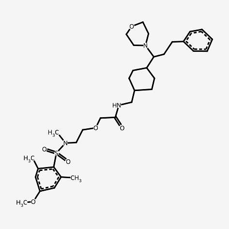 COc1cc(C)c(S(=O)(=O)N(C)CCOCC(=O)NCC2CCC(C(CCc3ccccc3)N3CCOCC3)CC2)c(C)c1